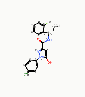 O=C(O)C[C@H](NC(=O)c1cc(O)n(-c2ccc(Cl)cc2)n1)c1ccccc1F